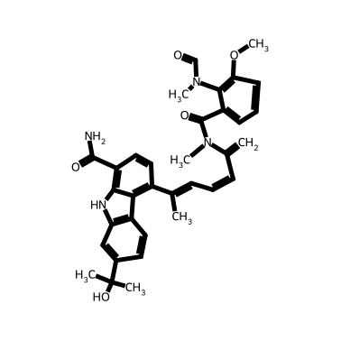 C=C(/C=C\C=C(/C)c1ccc(C(N)=O)c2[nH]c3cc(C(C)(C)O)ccc3c12)N(C)C(=O)c1cccc(OC)c1N(C)C=O